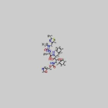 CC(C)c1nc(CN(C)C(=O)N[C@H](C(=O)N[C@@H](Cc2ccccc2)[C@@H](O)[C@H](O)[C@H](Cc2ccccc2)NC(=O)OCc2cnco2)C(C)C)cs1